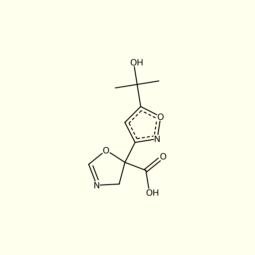 CC(C)(O)c1cc(C2(C(=O)O)CN=CO2)no1